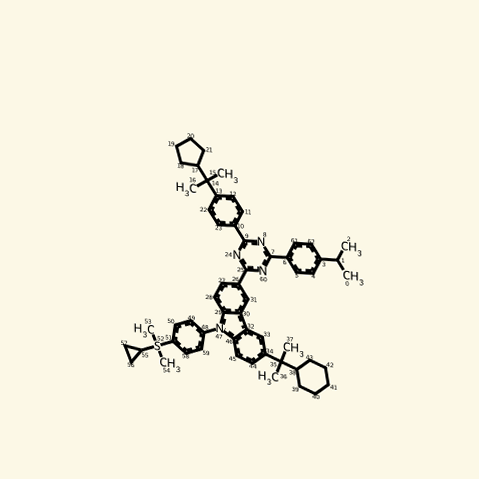 CC(C)c1ccc(-c2nc(-c3ccc(C(C)(C)C4CCCC4)cc3)nc(-c3ccc4c(c3)c3cc(C(C)(C)C5CCCCC5)ccc3n4-c3ccc(S(C)(C)C4CC4)cc3)n2)cc1